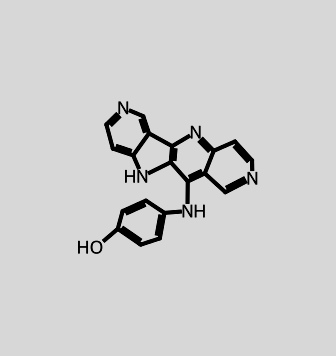 Oc1ccc(Nc2c3cnccc3nc3c2[nH]c2ccncc23)cc1